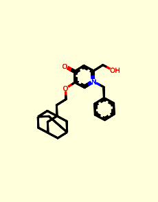 O=c1cc(CO)n(Cc2ccccc2)cc1OCCC12CC3CC(CC(C3)C1)C2